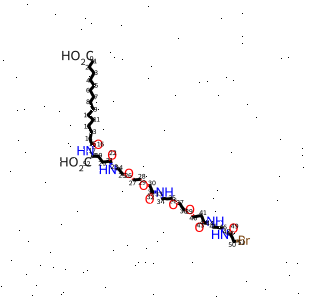 O=C(O)CCCCCCCCCCCCCCC(=O)NC(CCC(=O)NCCOCCOCC(=O)NCCOCCOCCC(=O)NCCNC(=O)CBr)C(=O)O